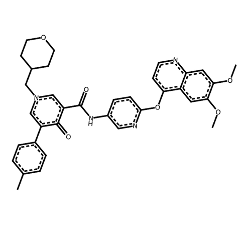 COc1cc2nccc(Oc3ccc(NC(=O)c4cn(CC5CCOCC5)cc(-c5ccc(C)cc5)c4=O)cn3)c2cc1OC